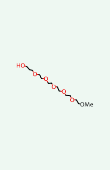 COCCOCCOCCOCCOCCOCCCO